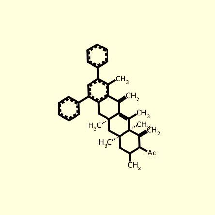 C=C1C2=C(C)[C@@]3(C)C(=C)C(C(C)=O)C(C)C[C@@]3(C)C[C@@]2(C)Cc2c(-c3ccccc3)cc(-c3ccccc3)c(C)c21